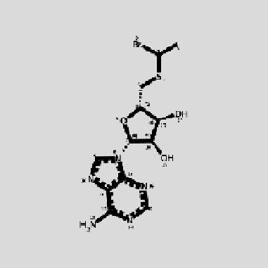 CC(Br)SC[C@H]1O[C@@H](n2cnc3c(N)ncnc32)[C@H](O)[C@@H]1O